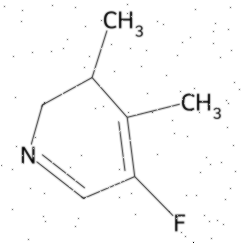 CC1=C(F)C=NCC1C